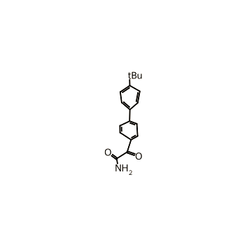 CC(C)(C)c1ccc(-c2ccc(C(=O)C(N)=O)cc2)cc1